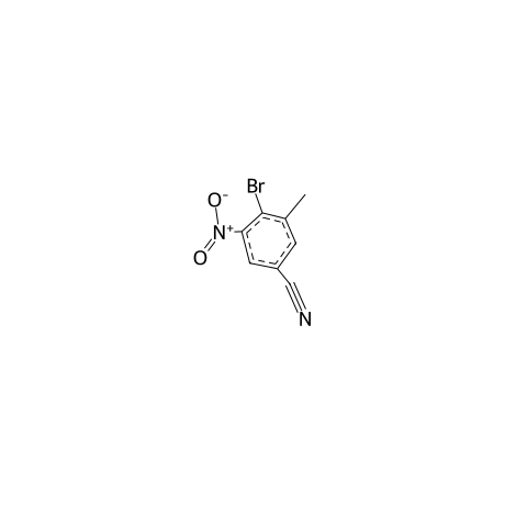 Cc1cc(C#N)cc([N+](=O)[O-])c1Br